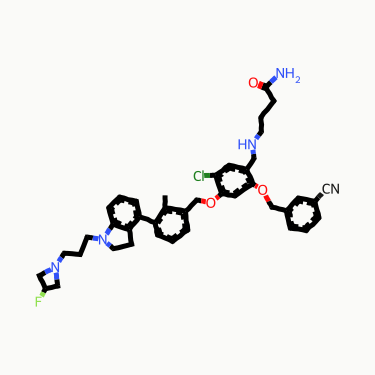 Cc1c(COc2cc(OCc3cccc(C#N)c3)c(CNCCCC(N)=O)cc2Cl)cccc1-c1cccc2c1CCN2CCCN1CC(F)C1